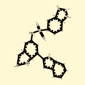 O=S(=O)(Nc1cc(-c2cc3ccccc3s2)c2[nH]ncc2c1)c1ccc2nsnc2c1